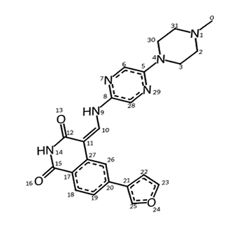 CN1CCN(c2cnc(NC=C3C(=O)NC(=O)c4ccc(-c5ccoc5)cc43)cn2)CC1